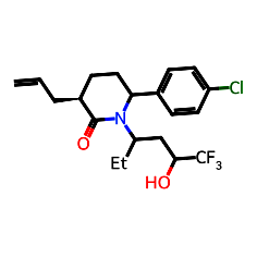 C=CC[C@H]1CCC(c2ccc(Cl)cc2)N(C(CC)CC(O)C(F)(F)F)C1=O